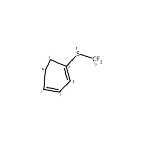 FC(F)(F)SC1=CC=CCC1